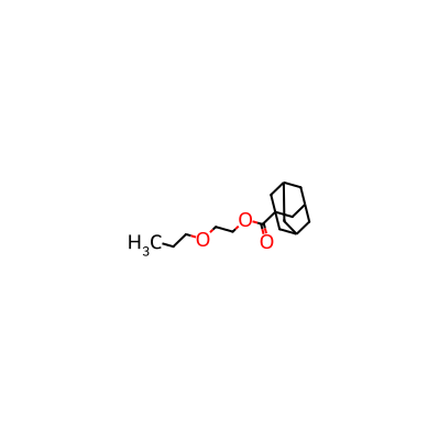 CCCOCCOC(=O)C12CC3CC(CC(C3)C1)C2